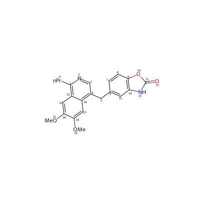 CCCc1ncc(Cc2ccc3oc(=O)[nH]c3c2)c2cc(OC)c(OC)cc12